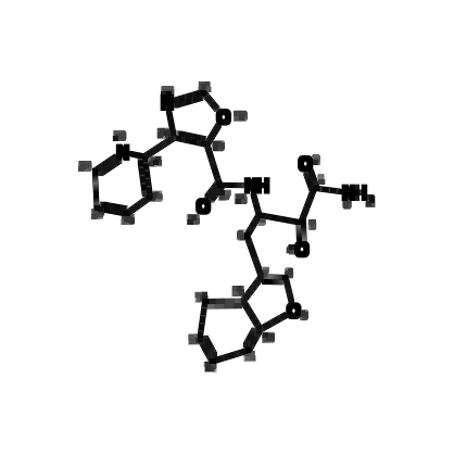 NC(=O)C(=O)C(Cc1coc2ccccc12)NC(=O)c1ocnc1-c1ccccn1